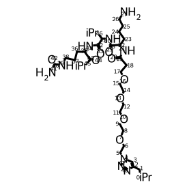 CC(C)Cc1cn(CCOCCOCCOCCOCCC(=O)NC(CCCCN)C(=O)NC(C(=O)NC(CCCNC(N)=O)C(=O)C(C)C)C(C)C)nn1